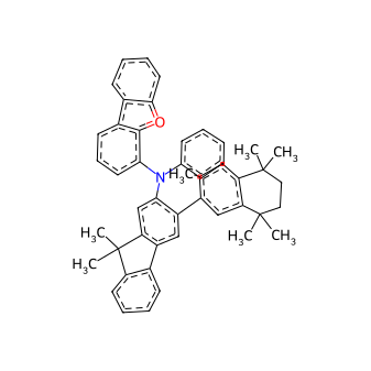 Cc1cc2c(cc1-c1cc3c(cc1N(c1ccccc1)c1cccc4c1oc1ccccc14)C(C)(C)c1ccccc1-3)C(C)(C)CCC2(C)C